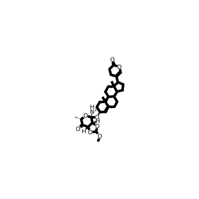 COC1O[C@@H]2C(=O)[C@H](C)O[C@@](N)(O[C@@H]3C=C4CCC5C(CCC6(C)C(C7=COC(=O)CC7)CCC56)C4(C)CC3)[C@@H]2O1